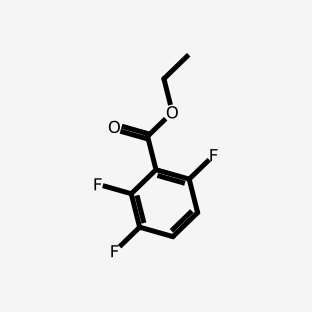 CCOC(=O)c1c(F)ccc(F)c1F